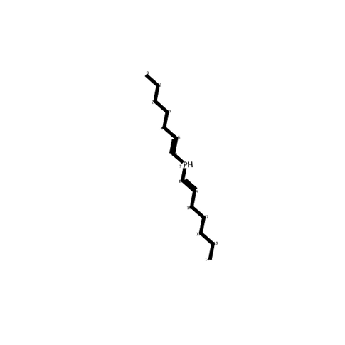 CCCCCC=CPC=CCCCCC